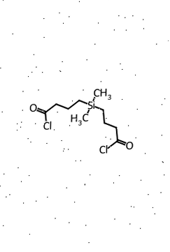 C[Si](C)(CCCC(=O)Cl)CCCC(=O)Cl